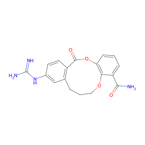 N=C(N)Nc1ccc2c(c1)CCCOc1c(cccc1C(N)=O)OC2=O